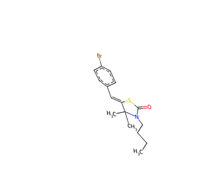 CCCCN1C(=O)S/C(=C\c2ccc(Br)cc2)C1(C)C